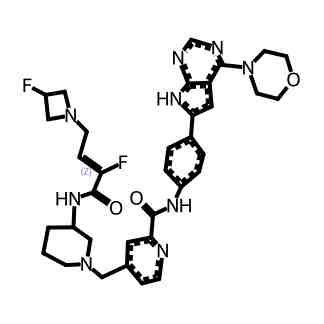 O=C(NC1CCCN(Cc2ccnc(C(=O)Nc3ccc(-c4cc5c(N6CCOCC6)ncnc5[nH]4)cc3)c2)C1)/C(F)=C/CN1CC(F)C1